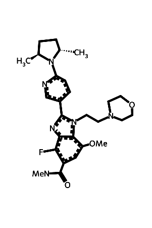 CNC(=O)c1cc(OC)c2c(nc(-c3ccc(N4[C@@H](C)CC[C@@H]4C)nc3)n2CCN2CCOCC2)c1F